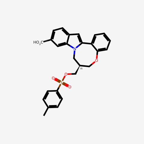 Cc1ccc(S(=O)(=O)OC[C@@H]2COc3ccccc3-c3cc4ccc(C(=O)O)cc4n3C2)cc1